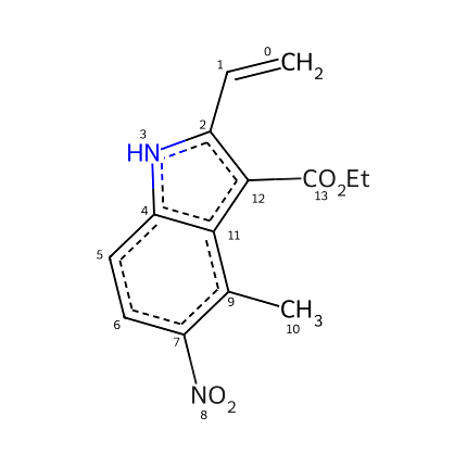 C=Cc1[nH]c2ccc([N+](=O)[O-])c(C)c2c1C(=O)OCC